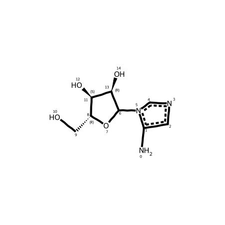 Nc1cncn1C1O[C@H](CO)[C@@H](O)[C@H]1O